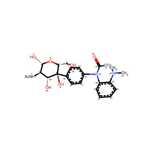 CC(=O)N[C@H]1[C@H](O)O[C@H](CO)[C@](O)(c2ccc(N(C(=O)C(F)(F)F)c3ccccc3N(C)C)cc2)[C@@H]1O